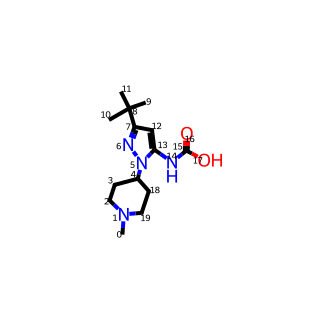 CN1CCC(n2nc(C(C)(C)C)cc2NC(=O)O)CC1